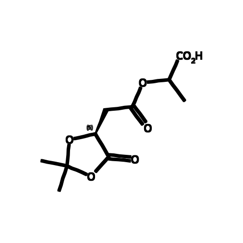 CC(OC(=O)C[C@@H]1OC(C)(C)OC1=O)C(=O)O